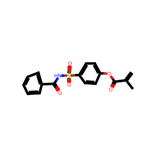 C=C(C)C(=O)Oc1ccc(S(=O)(=O)NC(=O)c2ccccc2)cc1